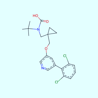 CC(C)(C)N(CC1(COc2cncc(-c3c(Cl)cccc3Cl)c2)CC1)C(=O)O